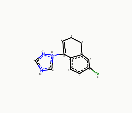 Brc1ccc2c(c1)CCC=C2n1cncn1